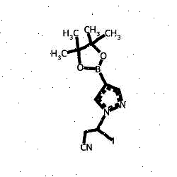 CC1(C)OB(c2cnn(C(I)CC#N)c2)OC1(C)C